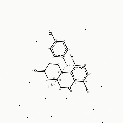 O=C1CC[C@@]2(Sc3ccc(Cl)cc3)c3c(F)ccc(F)c3OC[C@@]2(O)C1